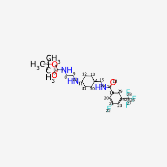 CC(C)(C)OC(=O)NCCNC1CCC(CNC(=O)c2cc(F)cc(C(F)(F)F)c2)CC1